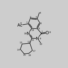 CC(=O)c1cc(C)cc2c(=O)n(C)c(C3CCCCC3)nc12